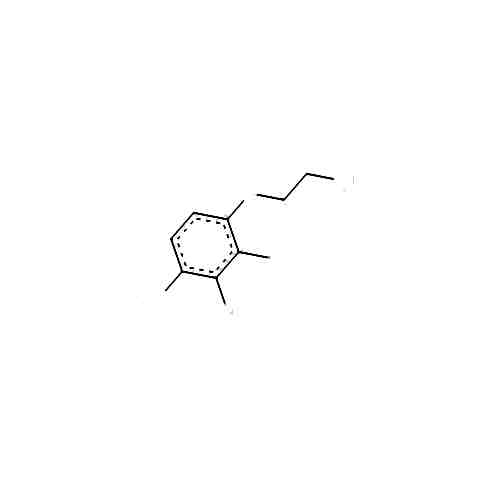 O=Cc1ccc(OCCO)c(F)c1Br